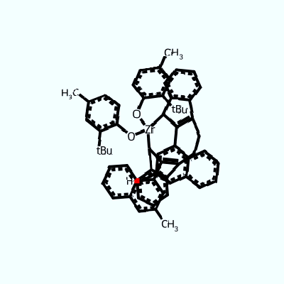 Cc1ccc([O][Zr]2([O]c3ccc(C)cc3C(C)(C)C)[CH]3C(c4cc(C)cc5ccccc45)=C(CCC4=C(c5cc(C)cc6ccccc56)[CH]2c2ccccc24)c2ccccc23)c(C(C)(C)C)c1